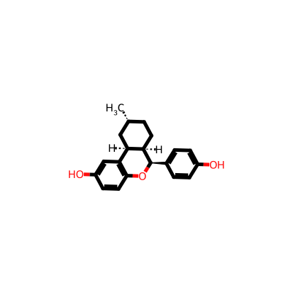 C[C@@H]1CC[C@@H]2[C@H](C1)c1cc(O)ccc1O[C@@H]2c1ccc(O)cc1